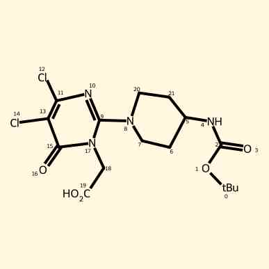 CC(C)(C)OC(=O)NC1CCN(c2nc(Cl)c(Cl)c(=O)n2CC(=O)O)CC1